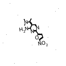 CC(=C1C=NC(c2ccc([N+](=O)[O-])o2)=NC1N)N(C)C